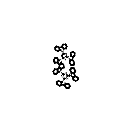 c1ccc2c(c1)c1ccccc1n2-c1cc(-n2c3ccccc3c3c4c5ccccc5n(-c5nc(-n6c7ccccc7c7ccccc76)nc(-n6c7ccccc7c7ccccc76)n5)c4ccc32)nc(-n2c3ccccc3c3ccccc32)n1